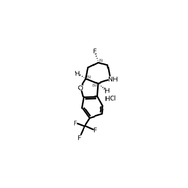 Cl.F[C@@H]1CN[C@H]2c3ccc(C(F)(F)F)cc3O[C@H]2C1